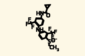 CC[S+]([O-])c1ccc(Nc2ccc(NC(=O)C3CC3)cc2C(F)(F)F)cc1C(F)(F)F